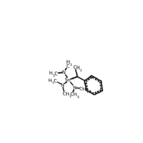 C[CH](c1ccccc1)[Sn]([N](C)C)([N](C)C)[N](C)C